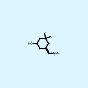 CN/C=C1/CC(O)CC(C)(C)C1